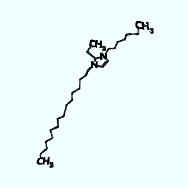 CCCCCCCCCCCCCCCCN1C=CN(CCCCCCC)C1CC